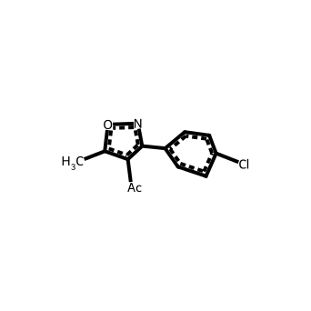 CC(=O)c1c(-c2ccc(Cl)cc2)noc1C